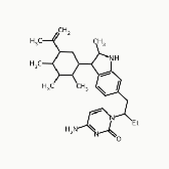 C=C(C)C1CC(C2c3ccc(CC(CC)n4ccc(N)nc4=O)cc3NC2C)C(C)C(C)C1C